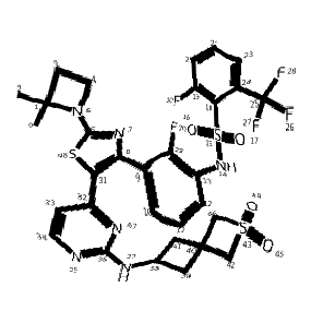 CC1(C)CCN1c1nc(-c2cccc(NS(=O)(=O)c3c(F)cccc3C(F)(F)F)c2F)c(-c2ccnc(NC3CC4(C3)CS(=O)(=O)C4)n2)s1